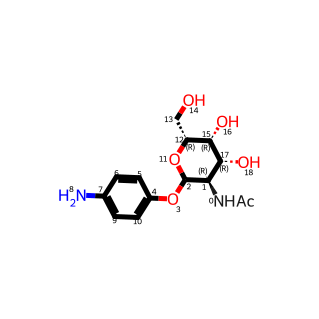 CC(=O)N[C@H]1C(Oc2ccc(N)cc2)O[C@H](CO)[C@H](O)[C@@H]1O